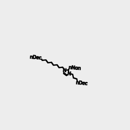 CCCCCCCCCCCCCCCCCCN1C=CN(CCCCCCCCCCCCC)C1CCCCCCCCC